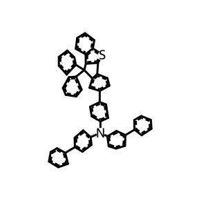 c1ccc(-c2ccc(N(c3ccc(-c4ccc5c(c4)C(c4ccccc4)(c4ccccc4)c4c-5sc5ccccc45)cc3)c3cccc(-c4ccccc4)c3)cc2)cc1